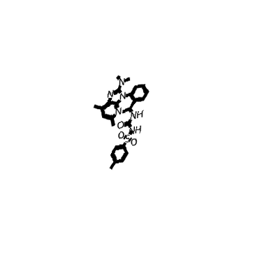 Cc1ccc(S(=O)(=O)NC(=O)NC(C)c2ccccc2-n2c(N(C)C)nc3c(C)cc(C)nc32)cc1